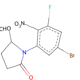 O=CC1CCC(=O)N1c1cc(Br)cc(F)c1[N+](=O)[O-]